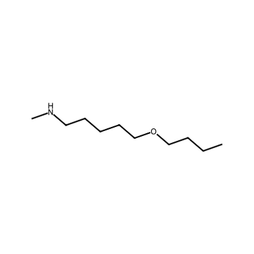 CCCCOCCCCCNC